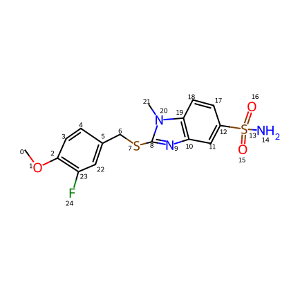 COc1ccc(CSc2nc3cc(S(N)(=O)=O)ccc3n2C)cc1F